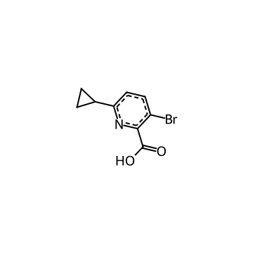 O=C(O)c1nc(C2CC2)ccc1Br